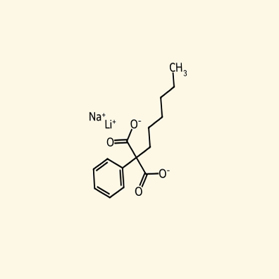 CCCCCCC(C(=O)[O-])(C(=O)[O-])c1ccccc1.[Li+].[Na+]